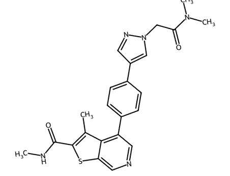 CNC(=O)c1sc2cncc(-c3ccc(-c4cnn(CC(=O)N(C)C)c4)cc3)c2c1C